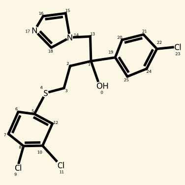 OC(CCSc1ccc(Cl)c(Cl)c1)(Cn1ccnc1)c1ccc(Cl)cc1